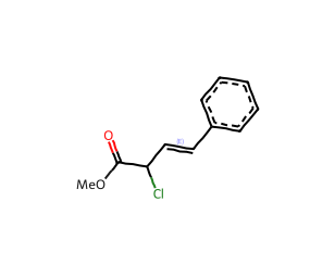 COC(=O)C(Cl)/C=C/c1ccccc1